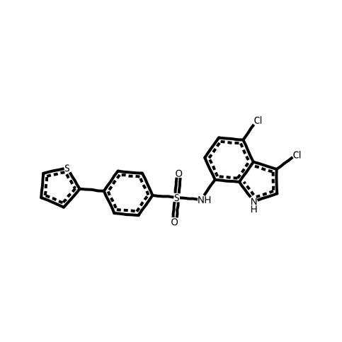 O=S(=O)(Nc1ccc(Cl)c2c(Cl)c[nH]c12)c1ccc(-c2cccs2)cc1